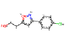 OCCc1cc(-c2ccc(Cl)cc2)no1